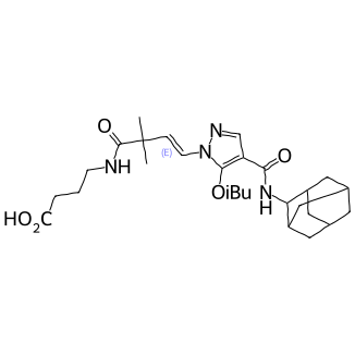 CC(C)COc1c(C(=O)NC2C3CC4CC(C3)CC2C4)cnn1/C=C/C(C)(C)C(=O)NCCCC(=O)O